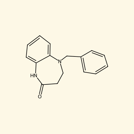 O=C1CCN(Cc2ccccc2)c2ccccc2N1